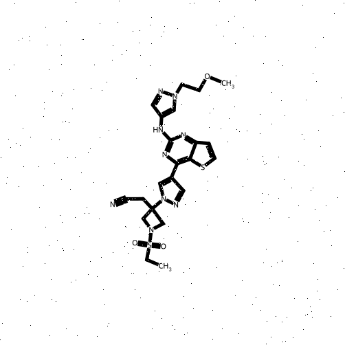 CCS(=O)(=O)N1CC(CC#N)(n2cc(-c3nc(Nc4cnn(CCOC)c4)nc4ccsc34)cn2)C1